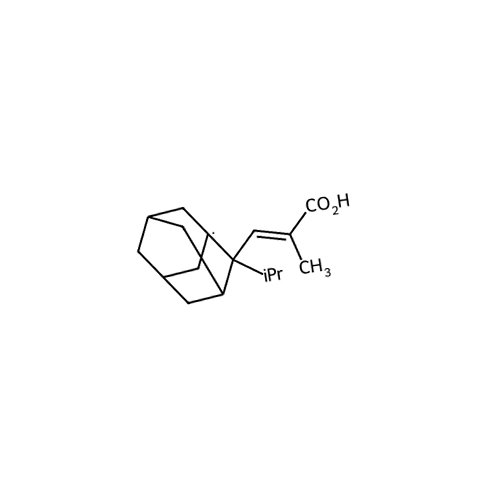 CC(=CC1(C(C)C)[C]2CC3CC(C2)CC1C3)C(=O)O